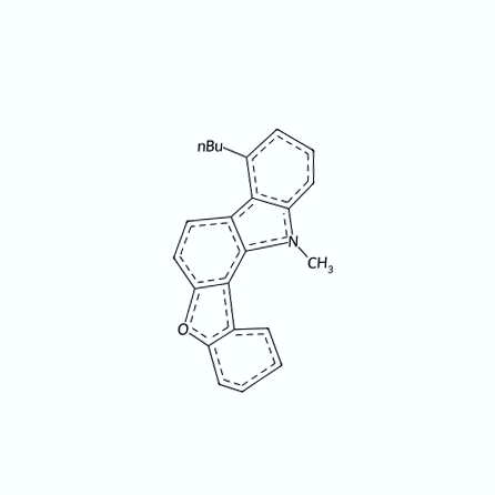 CCCCc1cccc2c1c1ccc3oc4ccccc4c3c1n2C